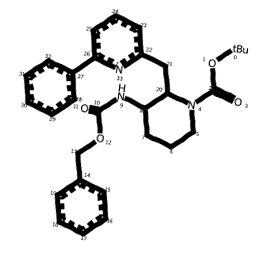 CC(C)(C)OC(=O)N1CCCC(NC(=O)OCc2ccccc2)C1Cc1cccc(-c2ccccc2)n1